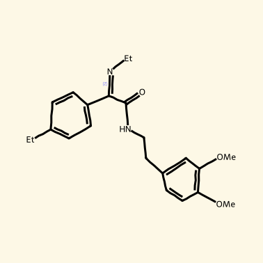 CC/N=C(\C(=O)NCCc1ccc(OC)c(OC)c1)c1ccc(CC)cc1